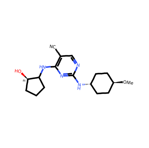 CO[C@H]1CC[C@H](Nc2ncc(C#N)c(NC3CCC[C@H]3O)n2)CC1